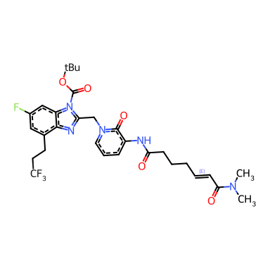 CN(C)C(=O)/C=C/CCCC(=O)Nc1cccn(Cc2nc3c(CCC(F)(F)F)cc(F)cc3n2C(=O)OC(C)(C)C)c1=O